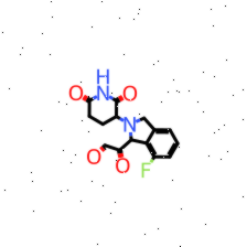 O=CC(=O)C1c2c(F)cccc2CN1C1CCC(=O)NC1=O